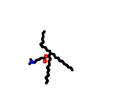 CCCCCC=CCCCC(CCC/C=C\CCCCC)C(CCCC=CCCCCC)OC(=O)CCCCN(C)C